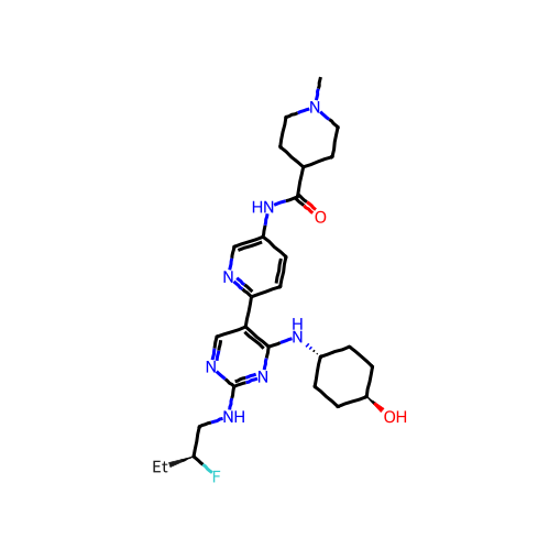 CC[C@H](F)CNc1ncc(-c2ccc(NC(=O)C3CCN(C)CC3)cn2)c(N[C@H]2CC[C@H](O)CC2)n1